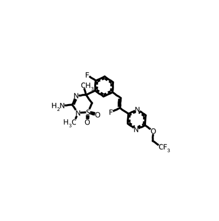 CN1C(N)=NC(C)(c2cc(C=C(F)c3cnc(OCC(F)(F)F)cn3)ccc2F)CS1(=O)=O